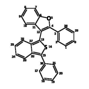 c1ccc(-c2oc3ccccc3c2-c2sc(-c3ccccc3)c3ccccc23)cc1